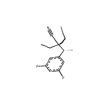 CCC(C#N)(CC)[C@H](C)c1cc(F)cc(F)c1